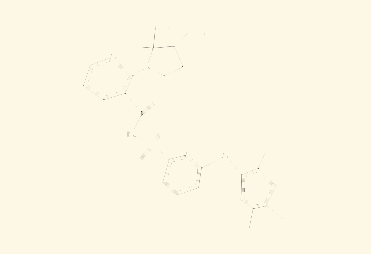 CC1CCN(c2ncccc2C(=O)NS(=O)(=O)c2cccc(Nc3cc(F)c(F)cc3F)n2)C1(C)C